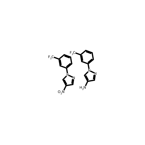 Nc1cnn(-c2cccc(C(F)(F)F)c2)c1.O=[N+]([O-])c1cnn(-c2cccc(C(F)(F)F)c2)c1